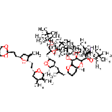 C=C1C[C@H](CCC2OCCCO2)O[C@H]1CC[C@H]1CC(C)C(=C)[C@@H](C[C@@H]2O[C@H](CC(CO[Si](C)(C)C(C)(C)C)O[Si](C)(C)C(C)(C)C)C[C@H]2CC(C)C[C@H]2CC[C@@H]3OC(C(/C=C/I)O[Si](C)(C)C(C)(C)C)C(O[Si](C)(C)C(C)(C)C)C(O[Si](C)(C)C(C)(C)C)C3O2)O1